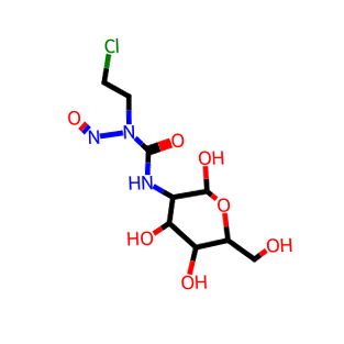 O=NN(CCCl)C(=O)NC1C(O)OC(CO)C(O)C1O